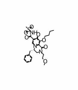 CCCCOc1c2n(cc(C(=O)NS(C)(=O)=O)c1=O)[C@@H](Cc1ccccc1)CN(CCOC)C2=O